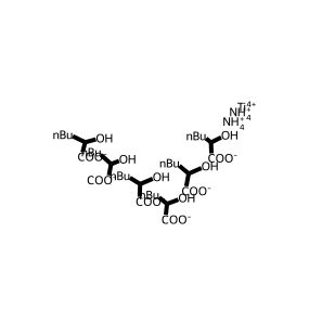 CCCCC(O)C(=O)[O-].CCCCC(O)C(=O)[O-].CCCCC(O)C(=O)[O-].CCCCC(O)C(=O)[O-].CCCCC(O)C(=O)[O-].CCCCC(O)C(=O)[O-].[NH4+].[NH4+].[Ti+4]